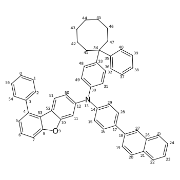 c1ccc(-c2cccc3oc4cc(N(c5ccc(-c6ccc7ccccc7c6)cc5)c5ccc(C6(c7ccccc7)CCCCCCC6)cc5)ccc4c23)cc1